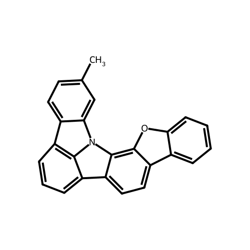 Cc1ccc2c3cccc4c5ccc6c7ccccc7oc6c5n(c2c1)c34